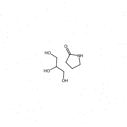 O=C1CCCN1.OCC(O)CO